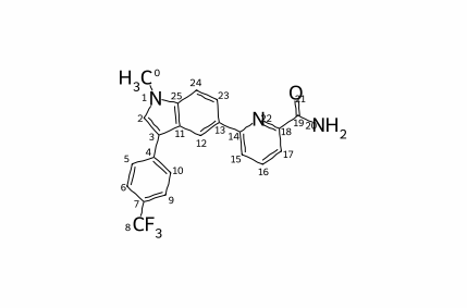 Cn1cc(-c2ccc(C(F)(F)F)cc2)c2cc(-c3cccc(C(N)=O)n3)ccc21